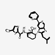 CC(C)Cc1nc2cnc(-c3ccccn3)cc2n1[C@@H]1CCC[C@H](NC(=O)c2ncc(Cl)s2)[C@H]1O